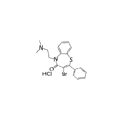 CN(C)CCN1C(=O)C(Br)=C(c2ccccc2)Sc2ccccc21.Cl